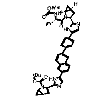 COC(=O)N[C@H](C(=O)N1[C@@H]2C[C@H]2C[C@H]1c1ncc(-c2ccc(-c3ccc4cc(-c5cnc(C6CC7CC7N6C(=O)OC(C)(C)C)[nH]5)ccc4c3)cc2)[nH]1)C(C)C